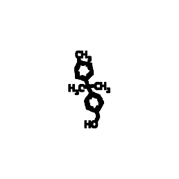 Cc1ccc(C(C)(C)c2ccc(CO)cc2)cc1